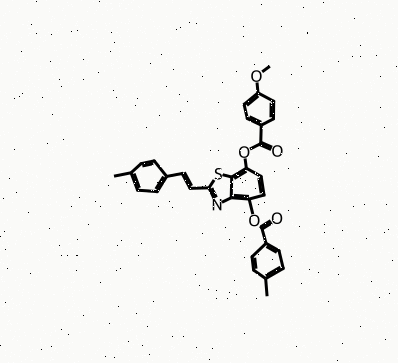 COc1ccc(C(=O)Oc2ccc(OC(=O)c3ccc(C)cc3)c3nc(/C=C/c4ccc(C)cc4)sc23)cc1